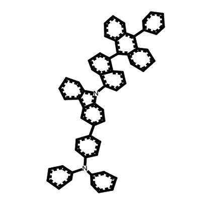 c1ccc(-c2c3ccccc3c(-c3cccc4c(-n5c6ccccc6c6cc(-c7ccc(N(c8ccccc8)c8ccccc8)cc7)ccc65)cccc34)c3ccccc23)cc1